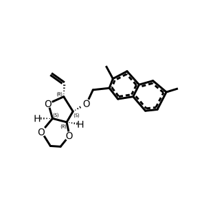 C=C[C@H]1O[C@@H]2OCCO[C@@H]2[C@H]1OCc1cc2ccc(C)cc2cc1C